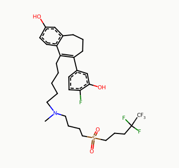 CN(CCCCCC1=C(c2ccc(F)c(O)c2)CCCc2cc(O)ccc21)CCCCS(=O)(=O)CCCC(F)(F)C(F)(F)F